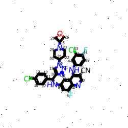 N#Cc1cnc2c(F)cc(NC(c3ccc(Cl)cc3)c3cn(C4CCN(C5COC5)CC4)nn3)cc2c1Nc1ccc(F)c(Cl)c1